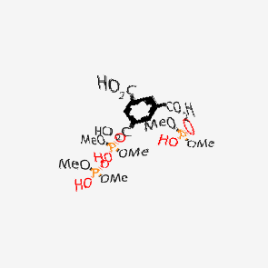 COP(=O)(O)OC.COP(=O)(O)OC.COP(=O)(O)OC.O=C(O)c1cc(C(=O)O)cc(C(=O)O)c1